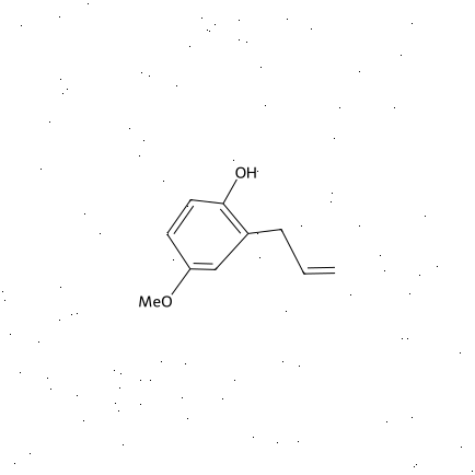 C=CCc1cc(OC)ccc1O